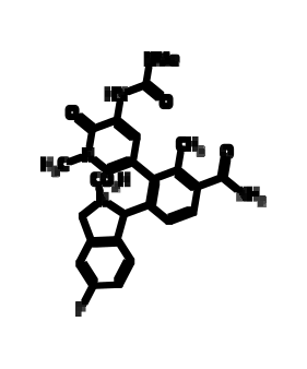 CNC(=O)Nc1cc(-c2c(C3c4ccc(F)cc4CN3C(=O)O)ccc(C(N)=O)c2C)cn(C)c1=O